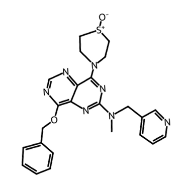 CN(Cc1cccnc1)c1nc(N2CC[S+]([O-])CC2)c2ncnc(OCc3ccccc3)c2n1